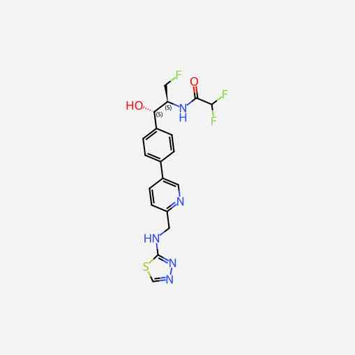 O=C(N[C@H](CF)[C@@H](O)c1ccc(-c2ccc(CNc3nncs3)nc2)cc1)C(F)F